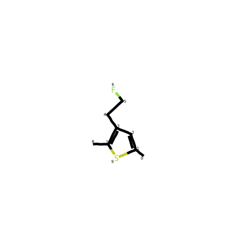 Cc1cc(CCF)c(C)s1